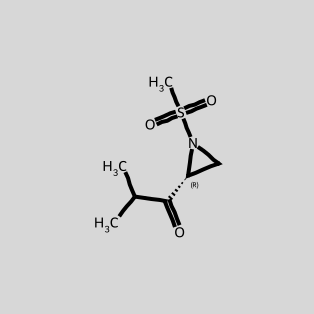 CC(C)C(=O)[C@H]1CN1S(C)(=O)=O